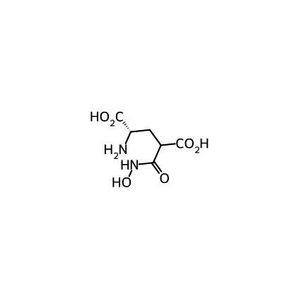 N[C@@H](CC(C(=O)O)C(=O)NO)C(=O)O